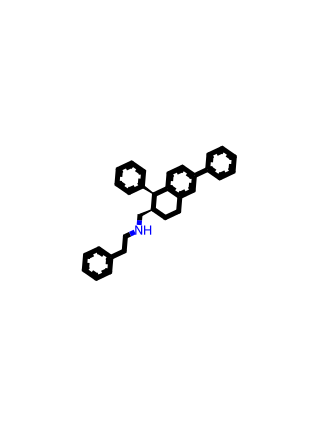 c1ccc(CCNC[C@@H]2CCc3cc(-c4ccccc4)ccc3[C@@H]2c2ccccc2)cc1